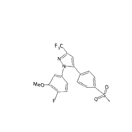 COc1cc(-n2nc(C(F)(F)F)cc2-c2ccc(S(C)(=O)=O)cc2)ccc1F